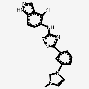 CN1C=CN(c2cccc(-c3nsc(Nc4ccc5[nH]ncc5c4Cl)n3)c2)C1